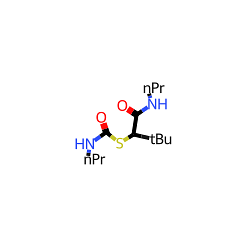 CCCNC(=O)SC(C(=O)NCCC)C(C)(C)C